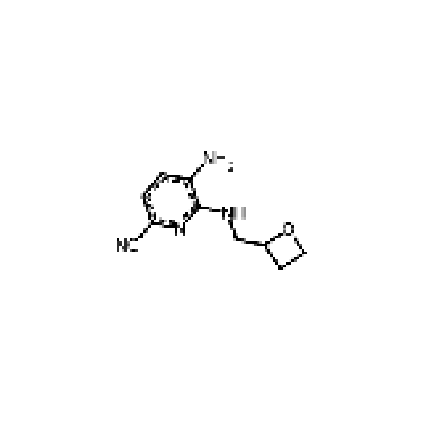 N#Cc1ccc(N)c(NCC2CCO2)n1